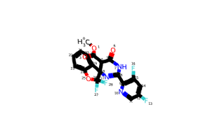 COC(=O)C1C(=O)NC(c2ncc(F)cc2F)=NC12c1ccccc1OC2(F)F